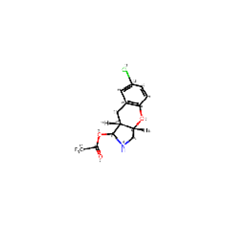 O=C(OC1NC[C@H]2Oc3ccc(Cl)cc3C[C@@H]12)C(F)(F)F